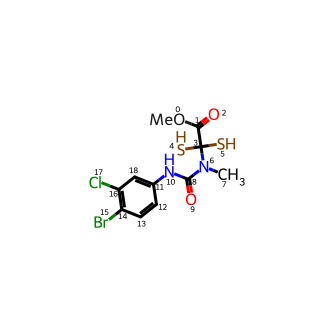 COC(=O)C(S)(S)N(C)C(=O)Nc1ccc(Br)c(Cl)c1